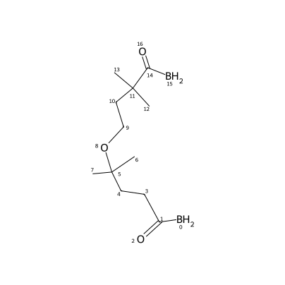 BC(=O)CCC(C)(C)OCCC(C)(C)C(B)=O